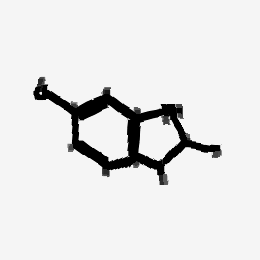 CC1Nc2cc(Cl)ccc2S1